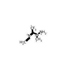 C=C/N=C(\N(C)N)C(F)(F)F